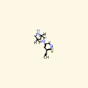 C#Cc1cc(N2C[C@@H]3CN[C@@H](C3)C2)cnc1F